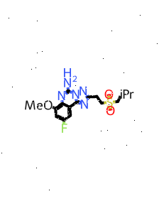 COc1cc(F)cc2c1nc(N)n1nc(CCS(=O)(=O)CC(C)C)nc21